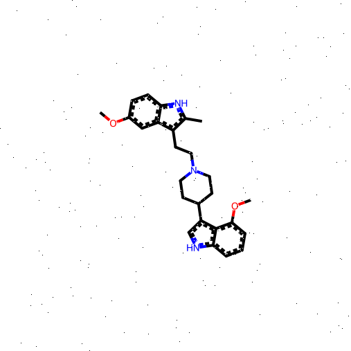 COc1ccc2[nH]c(C)c(CCN3CCC(c4c[nH]c5cccc(OC)c45)CC3)c2c1